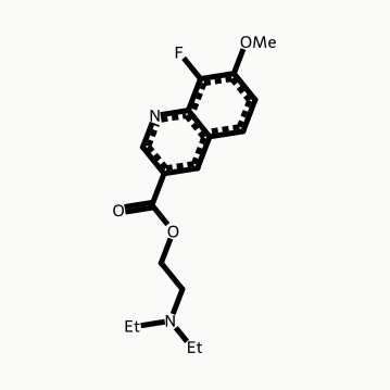 CCN(CC)CCOC(=O)c1cnc2c(F)c(OC)ccc2c1